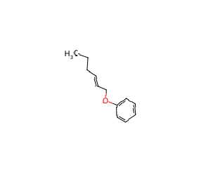 CCCC=CCOc1ccccc1